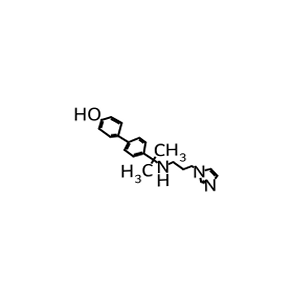 CC(C)(NCCCn1ccnc1)c1ccc(-c2ccc(O)cc2)cc1